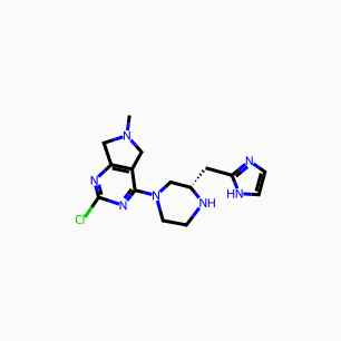 CN1Cc2nc(Cl)nc(N3CCN[C@@H](Cc4ncc[nH]4)C3)c2C1